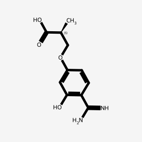 C[C@@H](COc1ccc(C(=N)N)c(O)c1)C(=O)O